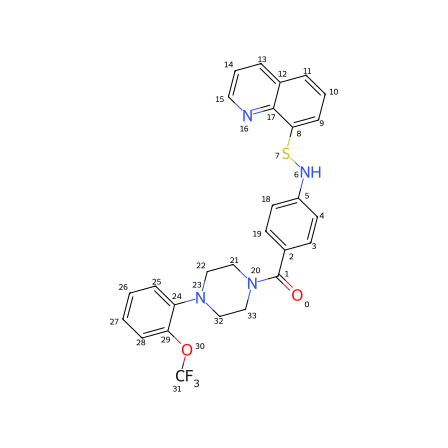 O=C(c1ccc(NSc2cccc3cccnc23)cc1)N1CCN(c2ccccc2OC(F)(F)F)CC1